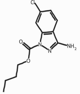 CCCCOC(=O)n1nc(N)c2ccc(Cl)cc21